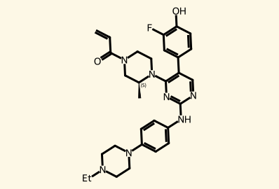 C=CC(=O)N1CCN(c2nc(Nc3ccc(N4CCN(CC)CC4)cc3)ncc2-c2ccc(O)c(F)c2)[C@@H](C)C1